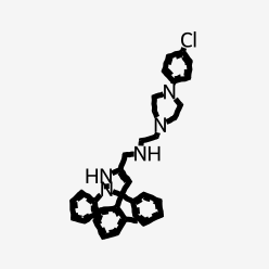 Cc1ccccc1C1(c2ccccc2)C=C(CNCCN2CCN(c3ccc(Cl)cc3)CC2)NN1c1ccccc1